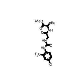 CCCCC(NC(=O)CNC(=O)Nc1ccc(Cl)cc1C(F)(F)F)C(=O)OC